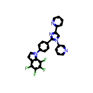 Fc1c(F)c(F)c2c(ccn2-c2ccc(-c3nc(-c4ccccn4)cn3-c3cccnc3)cc2)c1F